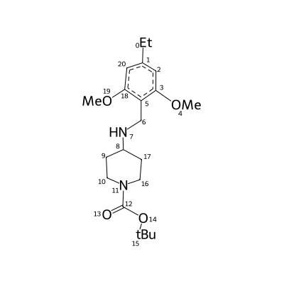 CCc1cc(OC)c(CNC2CCN(C(=O)OC(C)(C)C)CC2)c(OC)c1